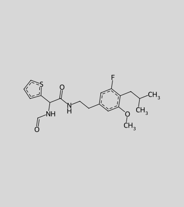 COc1cc(CCNC(=O)C(NC=O)c2cccs2)cc(F)c1CC(C)C